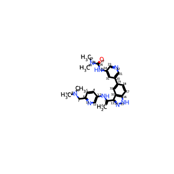 C=C(Nc1ccc(CN(C)C)nc1)c1n[nH]c2ccc(-c3cncc(NC(=O)N(C)C)c3)cc12